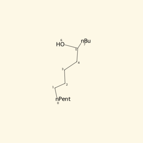 CCCCCCCCCC(O)CCCC